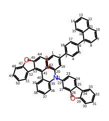 c1cc(-c2ccc(-c3cccc4ccccc34)cc2)cc(N(c2ccc3c(c2)oc2ccccc23)c2ccccc2-c2cccc3oc4ccccc4c23)c1